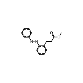 COC(=O)CCc1ccccc1N=Nc1ccccc1